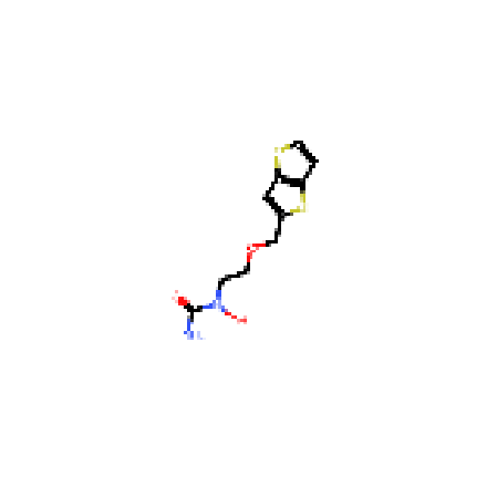 NC(=O)N(O)CCOCc1cc2sccc2s1